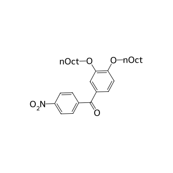 CCCCCCCCOc1ccc(C(=O)c2ccc([N+](=O)[O-])cc2)cc1OCCCCCCCC